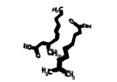 CC(C)CCCCCCC(=O)O.CCCCCCC(C)CC(=O)O